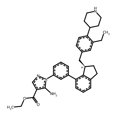 CCOC(=O)c1cnn(-c2cccc(-c3cccc4c3[C@@H](Cc3ccc(C5CCNCC5)c(CC)c3)CC4)c2)c1N